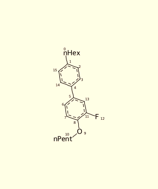 CCCCCCc1ccc(-c2ccc(OCCCCC)c(F)c2)cc1